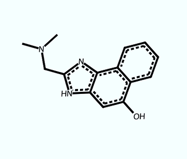 CN(C)Cc1nc2c(cc(O)c3ccccc32)[nH]1